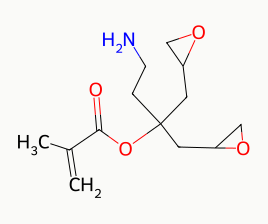 C=C(C)C(=O)OC(CCN)(CC1CO1)CC1CO1